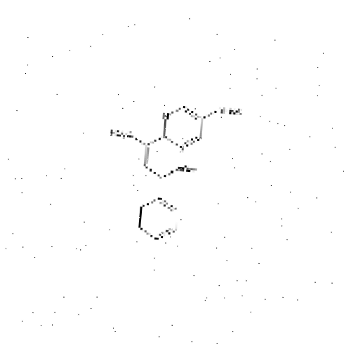 CCCCCCCCC(/C=C(/C(=O)O)c1ncc(CCCCCCC)cn1)c1ccccc1